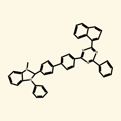 CN1c2ccccc2N(c2ccccc2)C1c1ccc(-c2ccc(-c3nc(-c4ccccc4)nc(-c4cccc5ccccc45)n3)cc2)cc1